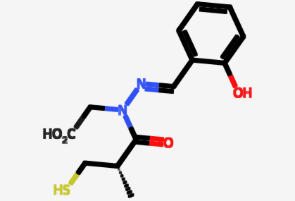 C[C@H](CS)C(=O)N(CC(=O)O)/N=C/c1ccccc1O